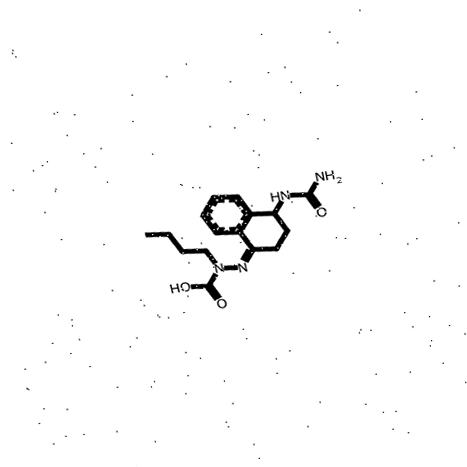 CCCCN(/N=C1/CCC(NC(N)=O)c2ccccc21)C(=O)O